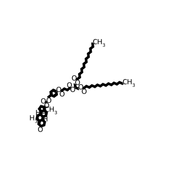 CCCCCCCCCCCCCCCC(=O)OCC(COC(=O)CCCCCCCCCCCCCCC)OC(=O)CCC(=O)Oc1ccc(COC(=O)O[C@H]2CC[C@H]3[C@@H]4CCC5=CC(=O)CC[C@]5(C)[C@H]4CC[C@]23C)cc1